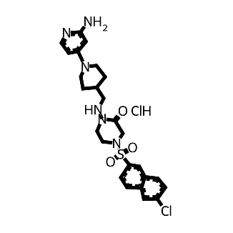 Cl.Nc1cc(N2CCC(CNN3CCN(S(=O)(=O)c4ccc5cc(Cl)ccc5c4)CC3=O)CC2)ccn1